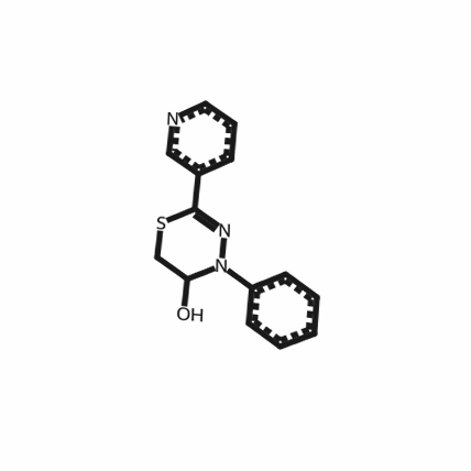 OC1CSC(c2cccnc2)=NN1c1ccccc1